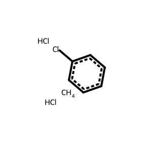 C.Cl.Cl.Clc1ccccc1